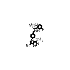 COc1ccc(F)cc1C(=O)NCc1ccc(-n2cc(Br)c3ncnc(N)c32)cc1